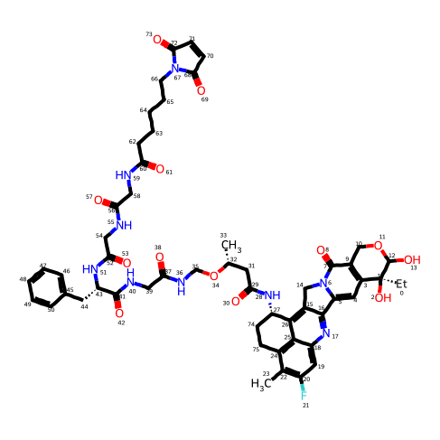 CC[C@]1(O)c2cc3n(c(=O)c2COC1O)Cc1c-3nc2cc(F)c(C)c3c2c1[C@@H](NC(=O)C[C@@H](C)OCNC(=O)CNC(=O)[C@H](Cc1ccccc1)NC(=O)CNC(=O)CNC(=O)CCCCCN1C(=O)C=CC1=O)CC3